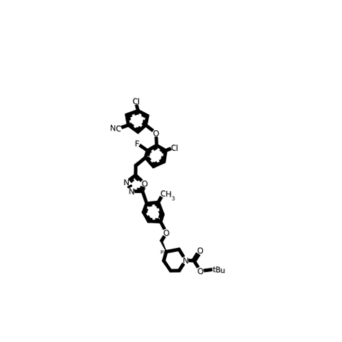 Cc1cc(OC[C@@H]2CCCN(C(=O)OC(C)(C)C)C2)ccc1-c1nnc(Cc2ccc(Cl)c(Oc3cc(Cl)cc(C#N)c3)c2F)o1